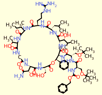 CC[C@H](C)C1NC(=O)[C@@H](CCCNC(=N)N)NC(=O)[C@H](CC(C)C)NC(=O)[C@H]([C@H](O)C(C)C)NC(=O)[C@@H](NC(=O)[C@H](COC(C)(C)C)NC(=O)[C@@H](COC(C)(C)C)NC(=O)OCc2ccccc2)[C@@H](c2ccccc2)OC(=O)[C@H](CO)NC(=O)[C@H]([C@H](O)C(N)=O)NC(=O)CNC(=O)C([C@H](C)O)NC1=O